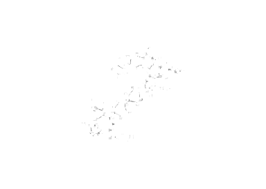 Cc1ncsc1-c1ccc(C(C)NC(=O)[C@@H]2C[C@@H](O)CN2C(=O)C(NC(=O)c2ccc(-c3ccc(C4=N[C@@H](CC(=O)O)c5nnc(C)n5-c5sc(C)c(C)c54)cc3)cn2)C(C)(C)C)cc1